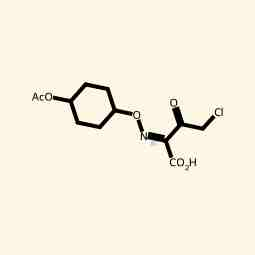 CC(=O)OC1CCC(O/N=C(/C(=O)O)C(=O)CCl)CC1